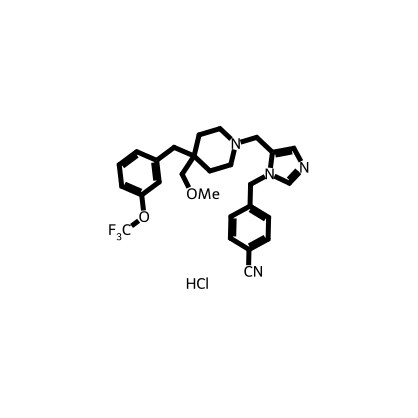 COCC1(Cc2cccc(OC(F)(F)F)c2)CCN(Cc2cncn2Cc2ccc(C#N)cc2)CC1.Cl